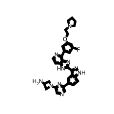 NC1CN(c2cncc(-c3ccc4[nH]nc(-c5nc6c(-c7cc(F)cc(OCCN8CCCC8)c7)nccc6[nH]5)c4c3)n2)C1